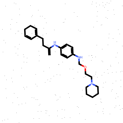 C=C(CCC1=CCCC=C1)Nc1ccc(NCOCCN2CCCCC2)cc1